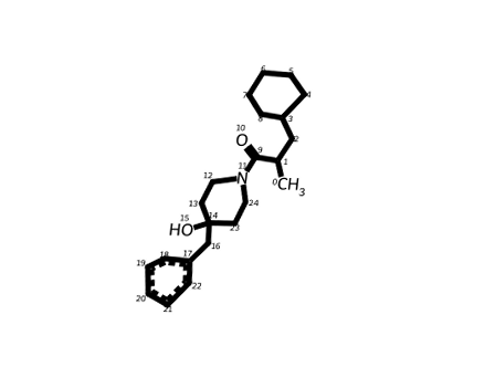 CC(CC1CCCCC1)C(=O)N1CCC(O)(Cc2ccccc2)CC1